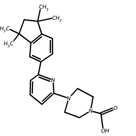 CC1(C)CC(C)(C)c2cc(-c3cccc(N4CCN(C(=O)O)CC4)n3)ccc21